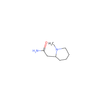 CN1CCCCC1CC(N)=O